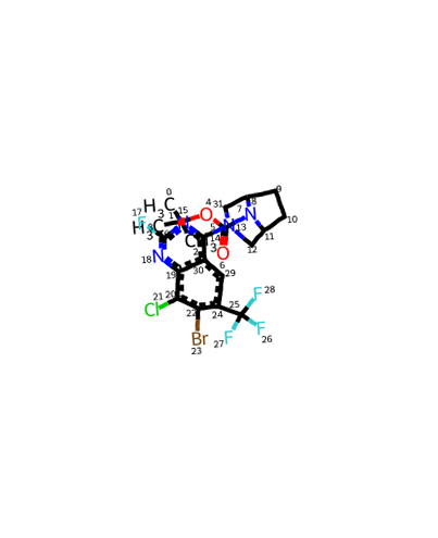 CC(C)(C)OC(=O)N1C2CCC1CN(c1nc(F)nc3c(Cl)c(Br)c(C(F)(F)F)cc13)C2